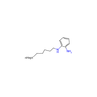 CCCCCCCCCCCCNc1ccccc1N